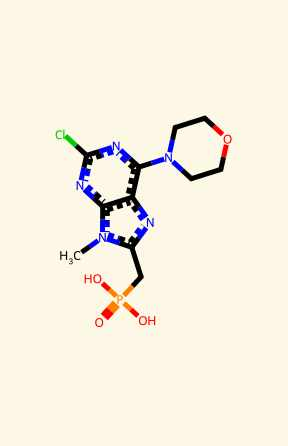 Cn1c(CP(=O)(O)O)nc2c(N3CCOCC3)nc(Cl)nc21